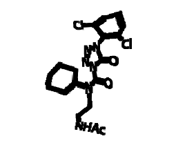 CC(=O)NCCN(C(=O)n1nnn(-c2c(Cl)cccc2Cl)c1=O)C1CCCCC1